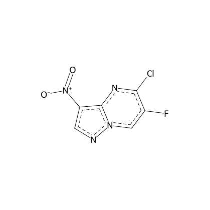 O=[N+]([O-])c1cnn2cc(F)c(Cl)nc12